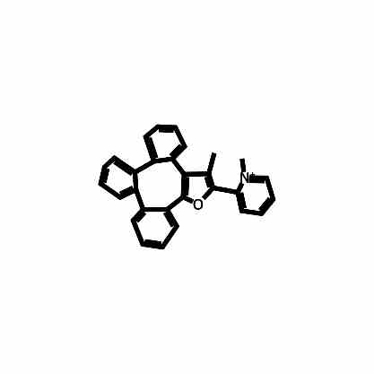 Cc1c(-c2cccc[n+]2C)oc2c1-c1ccccc1-c1ccccc1-c1ccccc1-2